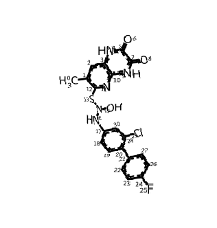 Cc1cc2[nH]c(=O)c(=O)[nH]c2nc1SN(O)Nc1ccc(-c2ccc(F)cc2)c(Cl)c1